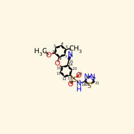 COc1ccc(C)cc1Oc1ccc(S(=O)(=O)Nc2nncs2)cc1C#N